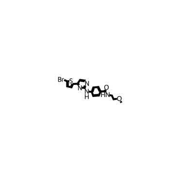 COCCNC(=O)c1ccc(Nc2nccc(-c3ccc(Br)s3)n2)cc1